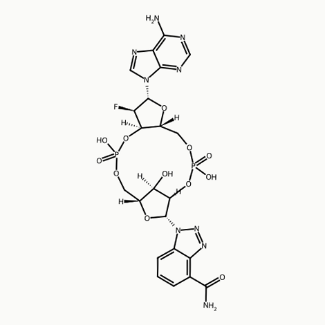 NC(=O)c1cccc2c1nnn2[C@@H]1O[C@@H]2COP(=O)(O)O[C@H]3[C@@H](F)[C@H](n4cnc5c(N)ncnc54)O[C@@H]3COP(=O)(O)O[C@@H]1[C@@H]2O